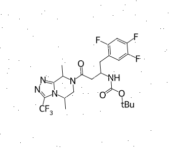 CC1c2nnc(C(F)(F)F)n2C(C)CN1C(=O)CC(Cc1cc(F)c(F)cc1F)NC(=O)OC(C)(C)C